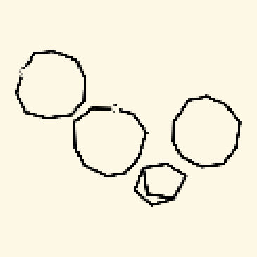 C1CC2CCC1C2.C1CCCCCCCCC1.C1CCCCCCCCC1.C1CCCCCCCCC1